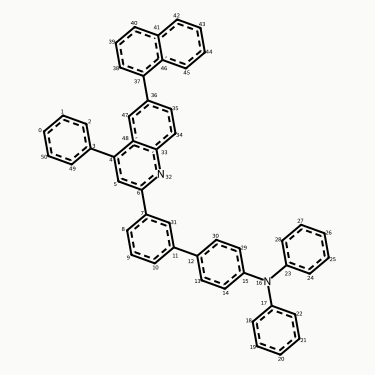 c1ccc(-c2cc(-c3cccc(-c4ccc(N(c5ccccc5)c5ccccc5)cc4)c3)nc3ccc(-c4cccc5ccccc45)cc23)cc1